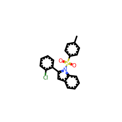 Cc1ccc(S(=O)(=O)n2c(-c3ccccc3Cl)cc3ccccc32)cc1